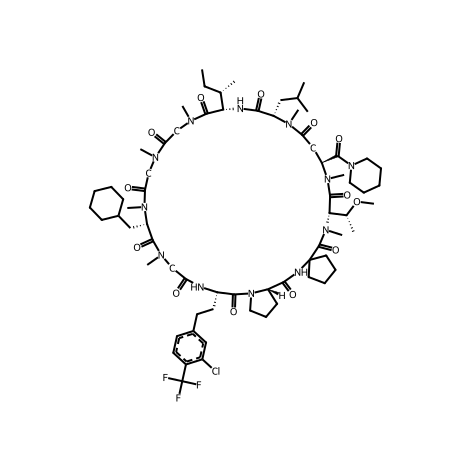 CC[C@H](C)[C@@H]1NC(=O)[C@H](CC(C)C)N(C)C(=O)C[C@@H](C(=O)N2CCCCC2)N(C)C(=O)[C@H]([C@@H](C)OC)N(C)C(=O)C2(CCCC2)NC(=O)[C@@H]2CCCN2C(=O)[C@H](CCc2ccc(C(F)(F)F)c(Cl)c2)NC(=O)CN(C)C(=O)[C@H](CC2CCCCC2)N(C)C(=O)CN(C)C(=O)CN(C)C1=O